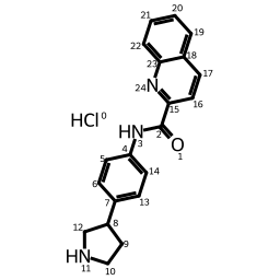 Cl.O=C(Nc1ccc(C2CCNC2)cc1)c1ccc2ccccc2n1